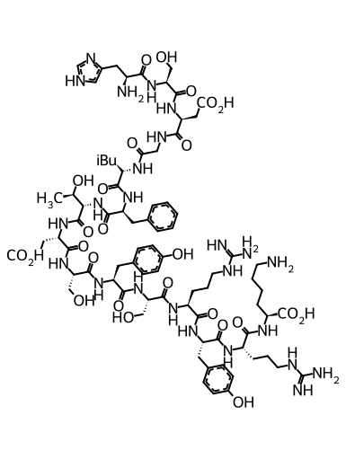 CC[C@H](C)[C@H](NC(=O)CNC(=O)[C@H](CC(=O)O)NC(=O)[C@H](CO)NC(=O)[C@@H](N)Cc1c[nH]cn1)C(=O)N[C@@H](Cc1ccccc1)C(=O)N[C@H](C(=O)N[C@@H](CC(=O)O)C(=O)N[C@@H](CO)C(=O)N[C@@H](Cc1ccc(O)cc1)C(=O)N[C@@H](CO)C(=O)N[C@@H](CCCNC(=N)N)C(=O)N[C@@H](Cc1ccc(O)cc1)C(=O)N[C@@H](CCCNC(=N)N)C(=O)N[C@@H](CCCCN)C(=O)O)[C@@H](C)O